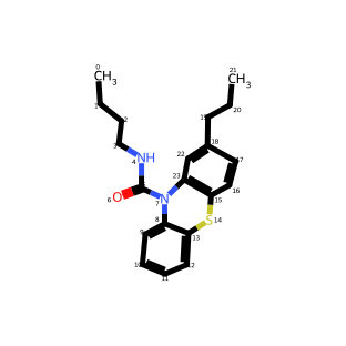 CCCCNC(=O)N1c2ccccc2Sc2ccc(CCC)cc21